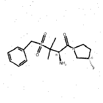 CC(C)([C@H](N)C(=O)N1CC[C@H](F)C1)S(=O)(=O)Cc1ccccc1